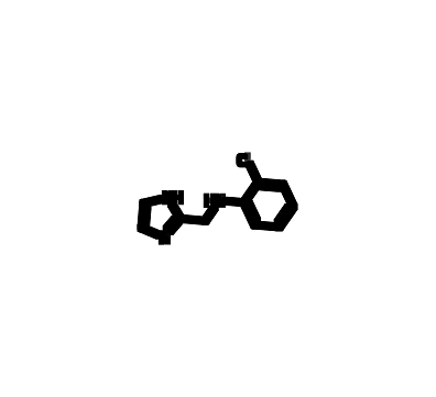 Clc1ccccc1NCc1ncc[nH]1